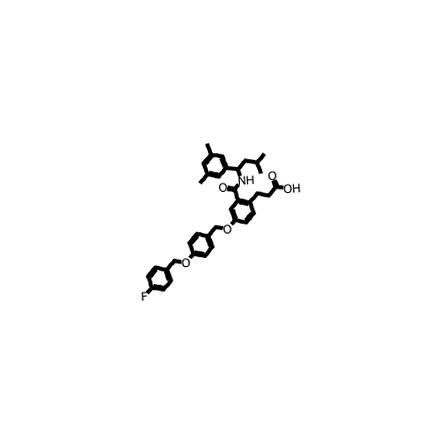 Cc1cc(C)cc(C(CC(C)C)NC(=O)c2cc(OCc3ccc(OCc4ccc(F)cc4)cc3)ccc2CCC(=O)O)c1